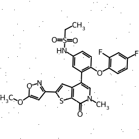 CCS(=O)(=O)Nc1ccc(Oc2ccc(F)cc2F)c(-c2cn(C)c(=O)c3sc(-c4cc(OC)on4)cc23)c1